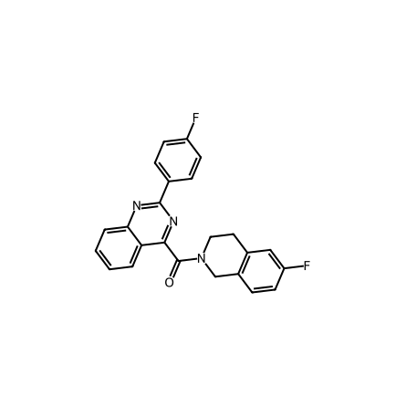 O=C(c1nc(-c2ccc(F)cc2)nc2ccccc12)N1CCc2cc(F)ccc2C1